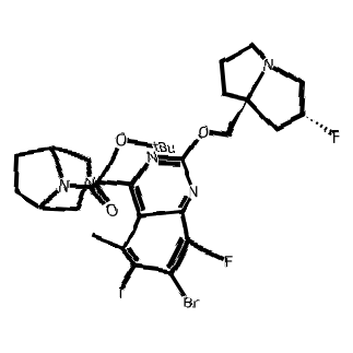 Cc1c(I)c(Br)c(F)c2nc(OC[C@@]34CCCN3C[C@H](F)C4)nc(N3CC4CCC(C3)N4C(=O)OC(C)(C)C)c12